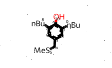 CCCCc1cc(CSC)cc(CCCC)c1O